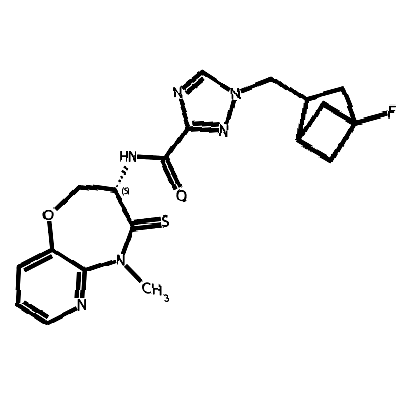 CN1C(=S)[C@@H](NC(=O)c2ncn(CC3CC4(F)CC3C4)n2)COc2cccnc21